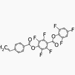 C=Cc1ccc(C(=O)Oc2c(F)c(F)c(C(=O)Oc3c(F)cc(F)cc3F)c(F)c2F)cc1